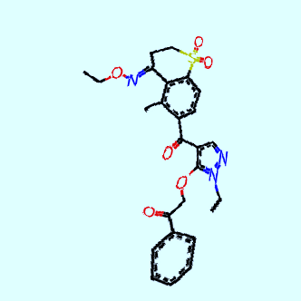 CCON=C1CCS(=O)(=O)c2ccc(C(=O)c3cnn(CC)c3OCC(=O)c3ccccc3)c(C)c21